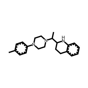 Cc1ccc(N2CCN(C(C)C3CCc4ccccc4N3)CC2)cc1